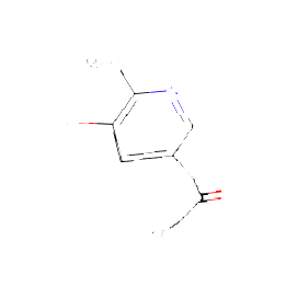 COc1ncc(C(=O)C(C)C)cc1O